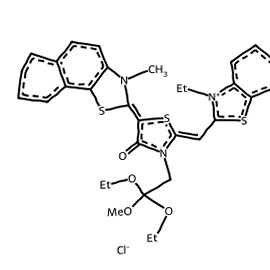 CCOC(Cn1c(=Cc2sc3ccccc3[n+]2CC)sc(=C2Sc3c(ccc4ccccc34)N2C)c1=O)(OC)OCC.[Cl-]